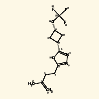 C=C(C)CCc1nnc([C@H]2C[C@@H](OC(F)(F)F)C2)o1